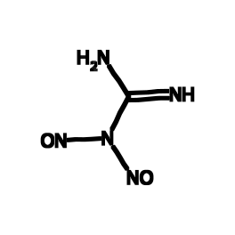 N=C(N)N(N=O)N=O